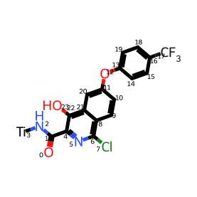 O=C([NH][Ti])c1nc(Cl)c2ccc(Oc3ccc(C(F)(F)F)cc3)cc2c1O